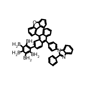 Bc1c(B)c(B)c(-c2ccc3c(-c4ccc(-n5c(-c6ccccc6)nc6ccccc65)cc4)c4ccccc4c(-c4cccc5oc6ccccc6c45)c3c2)c(B)c1B